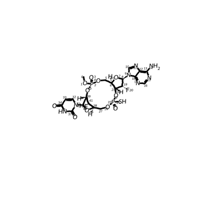 COP1(=O)OC[C@H]2O[C@@H](n3cnc4c(N)ncnc43)[C@H](F)[C@@H]2OP(=O)(S)OC[C@H]2O[C@@H](n3ccc(=O)[nH]c3=O)[C@H](O1)[C@@H]2F